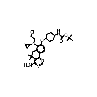 CC(C)(C)OC(=O)NC1CCC(Oc2ccc3c(c2N(CCCl)C2CC2)CC(C)(C)c2c(N)ncnc2-3)CC1